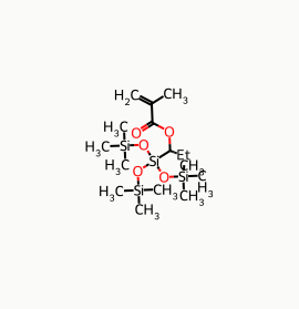 C=C(C)C(=O)OC(CC)[Si](O[Si](C)(C)C)(O[Si](C)(C)C)O[Si](C)(C)C